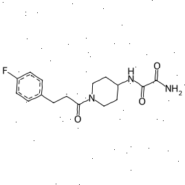 NC(=O)C(=O)NC1CCN(C(=O)[CH]Cc2ccc(F)cc2)CC1